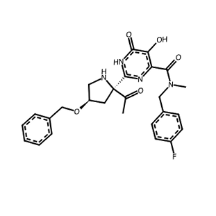 CC(=O)[C@@]1(c2nc(C(=O)N(C)Cc3ccc(F)cc3)c(O)c(=O)[nH]2)C[C@@H](OCc2ccccc2)CN1